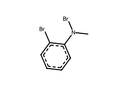 CN(Br)c1ccccc1Br